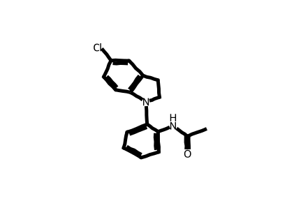 CC(=O)Nc1ccccc1N1CCc2cc(Cl)ccc21